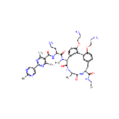 Cc1nc(-c2cnc(C(C)(C)C)nc2)nc(C)c1C(=O)NC(CCN)C(=O)N(C)C1C(=O)NC(C)C(=O)NC(C(=O)NCC#N)Cc2ccc(OCCN)c(c2)-c2cc1ccc2OCCN